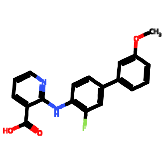 COc1cccc(-c2ccc(Nc3ncccc3C(=O)O)c(F)c2)c1